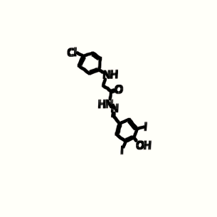 O=C(CNc1ccc(Cl)cc1)NN=Cc1cc(I)c(O)c(I)c1